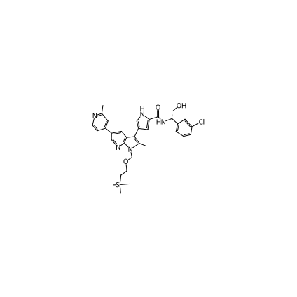 Cc1cc(-c2cnc3c(c2)c(-c2c[nH]c(C(=O)N[C@H](CO)c4cccc(Cl)c4)c2)c(C)n3COCC[Si](C)(C)C)ccn1